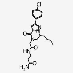 CCCCC1CN(CC(=O)NCCC(N)=O)C(=O)c2cc(-c3ccc(Cl)cc3)nn21